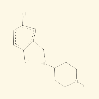 CC(C)N1CCC(NCc2cc(Cl)ccc2[N+](=O)[O-])CC1